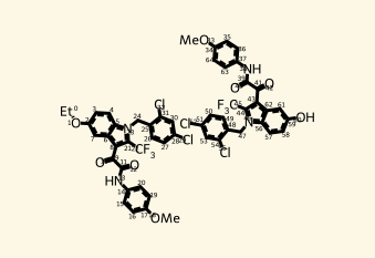 CCOc1ccc2c(c1)c(C(=O)C(=O)Nc1ccc(OC)cc1)c(C(F)(F)F)n2Cc1ccc(Cl)cc1Cl.COc1ccc(NC(=O)C(=O)c2c(C(F)(F)F)n(Cc3ccc(Cl)cc3Cl)c3ccc(O)cc23)cc1